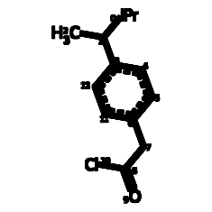 CC(C)C(C)c1ccc(CC(=O)Cl)cc1